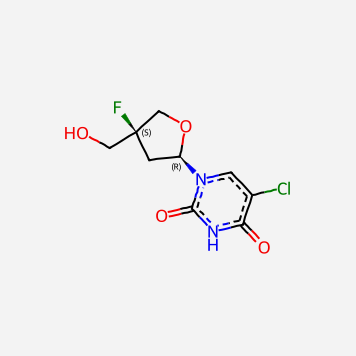 O=c1[nH]c(=O)n([C@H]2C[C@](F)(CO)CO2)cc1Cl